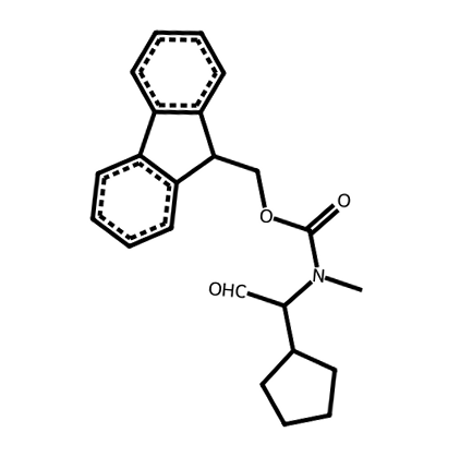 CN(C(=O)OCC1c2ccccc2-c2ccccc21)C(C=O)C1CCCC1